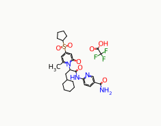 Cc1cc(S(=O)(=O)C2CCCC2)cc(=O)n1C(CC1CCCCC1)C(=O)Nc1ccc(C(N)=O)cn1.O=C(O)C(F)(F)F